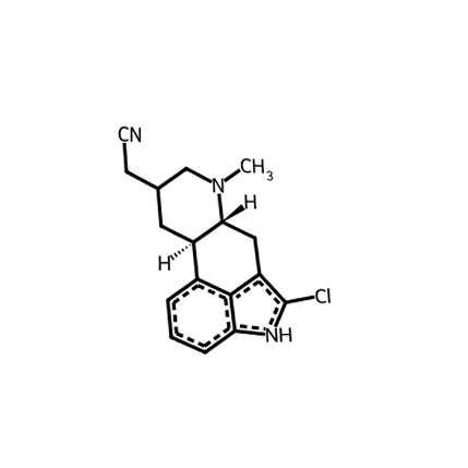 CN1CC(CC#N)C[C@@H]2c3cccc4[nH]c(Cl)c(c34)C[C@H]21